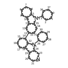 c1ccc(-n2c3ccccc3c3cc(-c4cccc5c6ccncc6n(-c6ccccc6)c45)ccc32)cc1